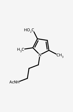 CC(=O)NCCCn1c(C)cc(C(=O)O)c1C